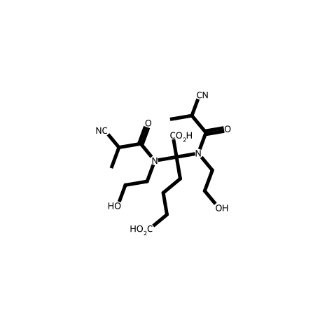 CC(C#N)C(=O)N(CCO)C(CCCC(=O)O)(C(=O)O)N(CCO)C(=O)C(C)C#N